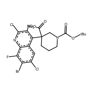 COC(=O)C1(c2c([N+](=O)[O-])c(Cl)nc3c(F)c(Br)c(Cl)cc23)CCCN(C(=O)OC(C)(C)C)C1